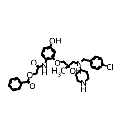 CC(O)(COc1cc(O)ccc1NC(=O)COC(=O)c1ccccc1)CN(Cc1ccc(Cl)cc1)C1CCNCC1